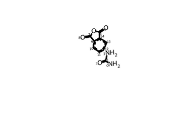 NC(N)=O.O=C1OC(=O)c2ccccc21